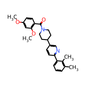 COc1ccc(C(=O)N2CCC(c3ccc(-c4cccc(C)c4C)nc3)CC2)c(OC)c1